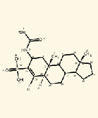 CC(C)(C)C(=O)NC1C[C@]2(C)C3CC[C@]4(C)CCCC4C3CC[C@H]2C(F)=C1P(=O)(O)O